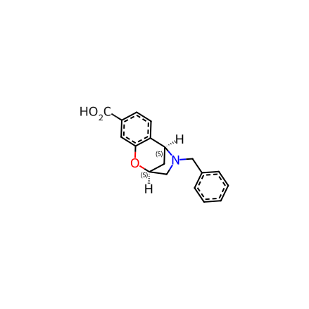 O=C(O)c1ccc2c(c1)O[C@H]1C[C@@H]2N(Cc2ccccc2)C1